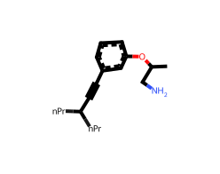 CCCC(C#Cc1cccc(OC(C)CN)c1)CCC